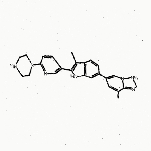 CC1=CC(c2ccc3c(C)c(-c4ccc(N5CCNCC5)nc4)[nH]c3c2)=CN2NCN=C12